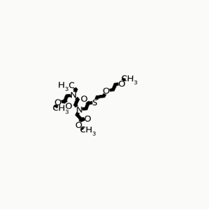 CCN(CCN(CC(=O)OC)CC(=O)SCCOCCOC)CC(=O)OC